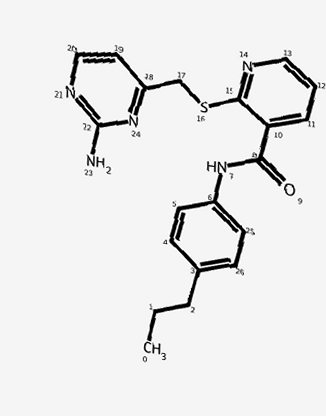 CCCc1ccc(NC(=O)c2cccnc2SCc2ccnc(N)n2)cc1